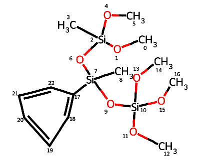 CO[Si](C)(OC)O[Si](C)(O[Si](OC)(OC)OC)c1ccccc1